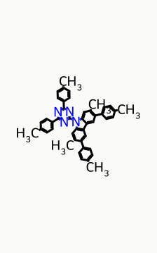 Cc1ccc(-c2nc(-c3ccc(C)cc3)nc(-n3c4cc(C)c(-c5ccc(C)cc5)cc4c4cc(-c5ccc(C)cc5)c(C)cc43)n2)cc1